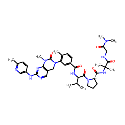 Cc1ccc(Nc2ncc3c(n2)N(C)C(=O)N(c2cc(C(=O)NC(C(=O)N4CCC[C@H]4C(=O)NC(C)(C)C(=O)NCC(=O)N(C)C)C(C)C)ccc2C)C3)cn1